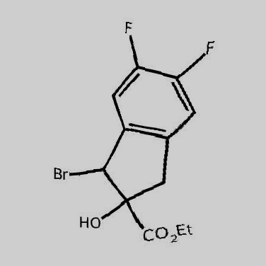 CCOC(=O)C1(O)Cc2cc(F)c(F)cc2C1Br